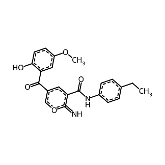 CCc1ccc(NC(=O)c2cc(C(=O)c3cc(OC)ccc3O)coc2=N)cc1